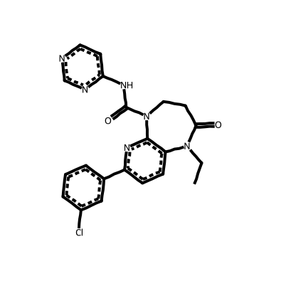 CCN1C(=O)CCN(C(=O)Nc2ccncn2)c2nc(-c3cccc(Cl)c3)ccc21